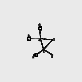 CC1([O])CC1(Cl)Cl